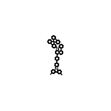 Cc1ccc2c(c1)c1cc(C)ccc1n2-c1ccc(-c2ccc(-c3ccc(N(c4ccc5c(c4)C4(c6ccccc6-c6ccccc64)c4ccccc4-5)c4ccccc4-c4ccccc4)cc3)cc2)cc1